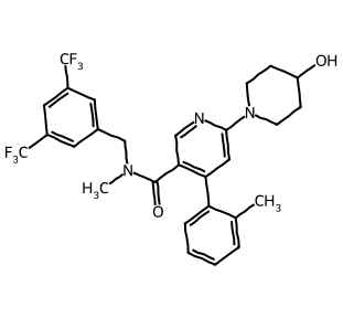 Cc1ccccc1-c1cc(N2CCC(O)CC2)ncc1C(=O)N(C)Cc1cc(C(F)(F)F)cc(C(F)(F)F)c1